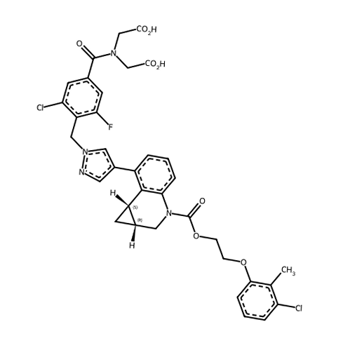 Cc1c(Cl)cccc1OCCOC(=O)N1C[C@@H]2C[C@@H]2c2c(-c3cnn(Cc4c(F)cc(C(=O)N(CC(=O)O)CC(=O)O)cc4Cl)c3)cccc21